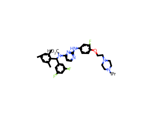 Cc1cc(C)c(C(c2cc(F)cc(F)c2)N(C(=O)O)c2ccnc(Nc3ccc(OCCN4CCN(C(C)C)CC4)c(F)c3)n2)c(C)c1